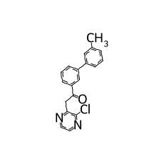 Cc1cccc(-c2cccc(C(=O)Cc3nccnc3Cl)c2)c1